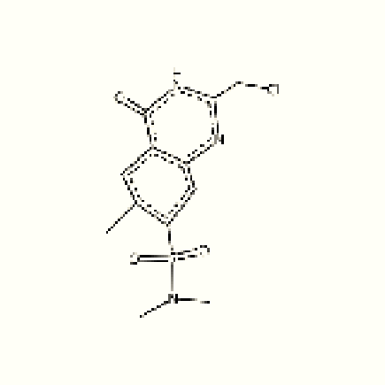 Cc1cc2c(=O)[nH]c(CCl)nc2cc1S(=O)(=O)N(C)C